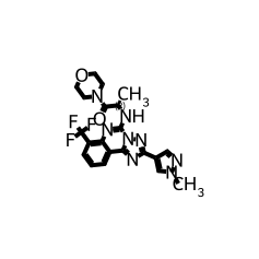 C[C@@H](Nc1nc2c(C(F)(F)F)cccc2c2nc(-c3cnn(C)c3)nn12)C(=O)N1CCOCC1